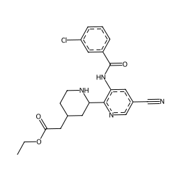 CCOC(=O)CC1CCNC(c2ncc(C#N)cc2NC(=O)c2cccc(Cl)c2)C1